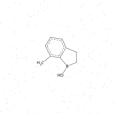 Cc1cccc2c1B(O)CC2